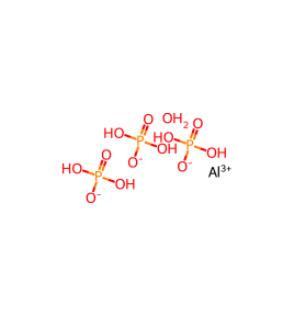 O.O=P([O-])(O)O.O=P([O-])(O)O.O=P([O-])(O)O.[Al+3]